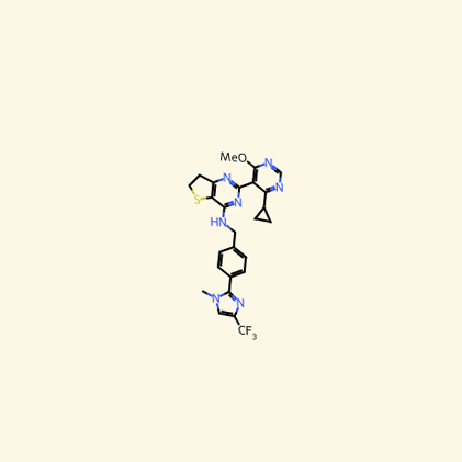 COc1ncnc(C2CC2)c1-c1nc2c(c(NCc3ccc(-c4nc(C(F)(F)F)cn4C)cc3)n1)SCC2